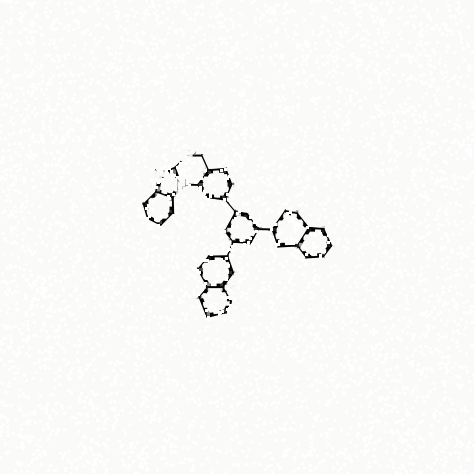 c1ccc2cc(-c3cc(-c4ccc5c(c4)-n4c(nc6ccccc64)SC5)cc(-c4ccc5ccccc5c4)c3)ccc2c1